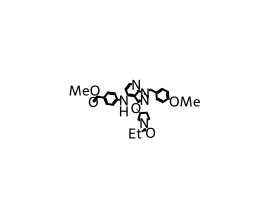 CCC(=O)N1CC[C@@H](Oc2nn(Cc3ccc(OC)cc3)c3nccc(Nc4ccc(C(=O)OC)cc4)c23)C1